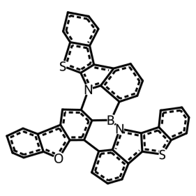 c1ccc2c(c1)oc1c3c4c(cc12)-n1c2sc5ccccc5c2c2cccc(c21)B4n1c2c-3cccc2c2sc3ccccc3c21